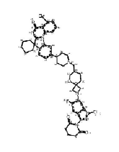 Cn1nc(N2C(=O)CCCC2=O)c2cc(F)c(N3CC4(CCC(CN5CCC(c6ccc7c(c6)-n6c(nc(=O)c8c(Cl)cccc86)C76CCCCC6)CC5)CO4)C3)cc21